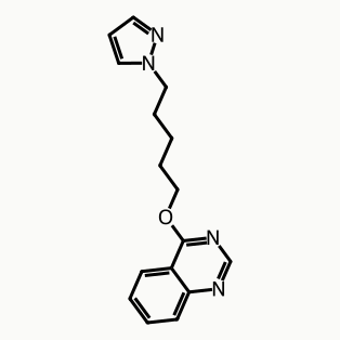 c1ccc2c(OCCCCCn3cccn3)ncnc2c1